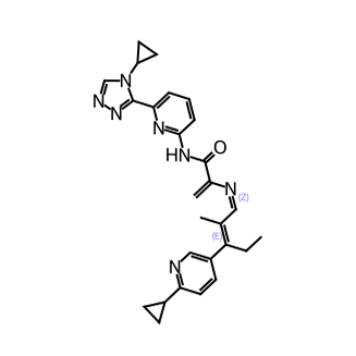 C=C(/N=C\C(C)=C(/CC)c1ccc(C2CC2)nc1)C(=O)Nc1cccc(-c2nncn2C2CC2)n1